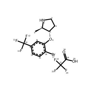 C[C@H]1NCC[C@@H]1Oc1cc(C(F)(F)F)ccc1Br.O=C(O)C(F)(F)F